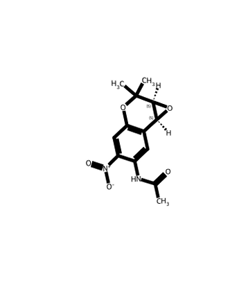 CC(=O)Nc1cc2c(cc1[N+](=O)[O-])OC(C)(C)[C@H]1O[C@@H]21